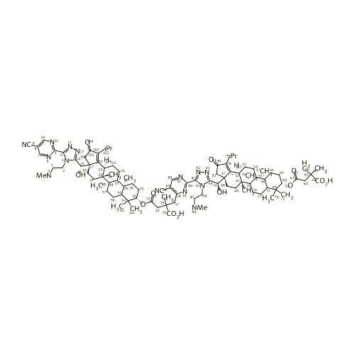 CNCCn1c(-c2ncc(C#N)cn2)nnc1[C@@H](O)[C@@]12CC[C@]3(C)[C@H](CCC4[C@@]5(C)CC[C@H](OC(=O)CC(C)(Cc6nc(-c7nnc([C@H](O)[C@@]89CC[C@]%10(C)[C@H](CCC%11[C@@]%12(C)CC[C@H](OC(=O)CC(C)(C)C(=O)O)C(C)(C)C%12CC[C@]%11%10C)C8=C(C(C)C)C(=O)C9)n7CCNC)ncc6C#N)C(=O)O)C(C)(C)C5CC[C@]43C)C1=C(C(C)C)C(=O)C2